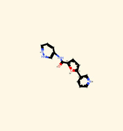 O=C(NC1=CNN=CC=C1)c1ccc(-c2cccnc2)o1